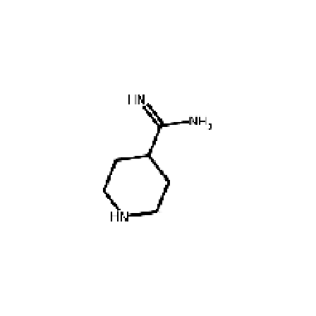 N=C(N)C1C[CH]NCC1